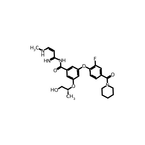 CN/C=C\C(=N)NC(=O)c1cc(Oc2ccc(C(=O)N3CCCCC3)cc2F)cc(O[C@@H](C)CO)c1